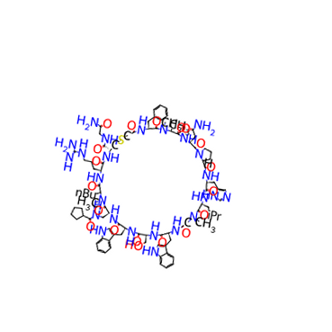 CCCC[C@H]1C(=O)N[C@@H](CCCNC(=N)N)C(=O)N[C@H](C(=O)NCC(N)=O)CSCC(=O)N[C@@H](Cc2ccccc2)C(=O)N(C)[C@@H](C)C(=O)N[C@@H](CC(N)=O)C(=O)N2CCC[C@H]2C(=O)N[C@@H](Cc2cnc[nH]2)C(=O)N[C@@H](CC(C)C)C(=O)N(C)CC(=O)N[C@@H](Cc2c[nH]c3ccccc23)C(=O)N[C@@H](CO)C(=O)N[C@@H](Cc2c[nH]c3ccccc23)C(=O)N[C@@H](CNC(=O)C2CCCC2)C(=O)N1C